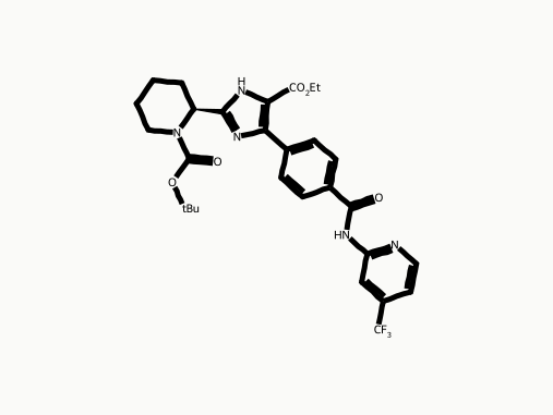 CCOC(=O)c1[nH]c([C@@H]2CCCCN2C(=O)OC(C)(C)C)nc1-c1ccc(C(=O)Nc2cc(C(F)(F)F)ccn2)cc1